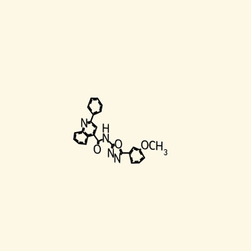 COc1cccc(-c2nnc(NC(=O)c3cc(-c4ccccc4)nc4ccccc34)o2)c1